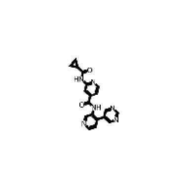 O=C(Nc1cnccc1-c1cncnc1)c1ccnc(NC(=O)C2CC2)c1